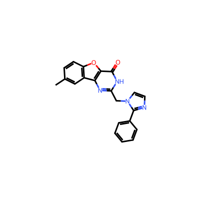 Cc1ccc2oc3c(=O)[nH]c(Cn4ccnc4-c4ccccc4)nc3c2c1